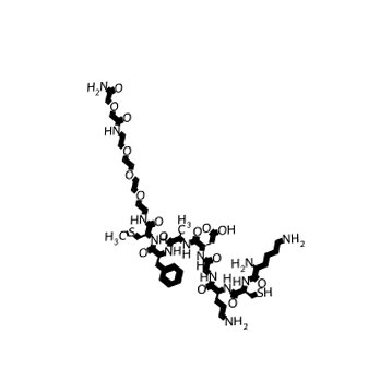 CSC[C@H](NC(=O)[C@H](Cc1ccccc1)NC(=O)[C@H](C)NC(=O)[C@H](CC(=O)O)NC(=O)CNC(=O)[C@H](CCCN)NC(=O)[C@H](CS)NC(=O)[C@@H](N)CCCCN)C(=O)NCCOCCOCCOCCNC(=O)COCC(N)=O